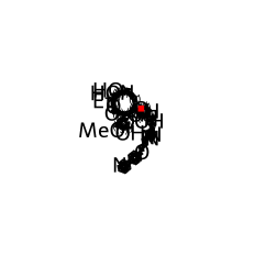 CC[C@H]1OC(=O)[C@H](C)[C@@H](C2C[C@@](C)(OC)[C@@H](O)[C@H](C)O2)[C@H](C)[C@@H](O[C@@H]2O[C@H](C)C[C@H](N(C)CCc3cn(CCCOc4ccc(-c5cccnc5)cc4)nn3)[C@H]2O)[C@](C)(O)C[C@@H](C)CN(C)[C@H](C)[C@@H](O)[C@]1(C)O